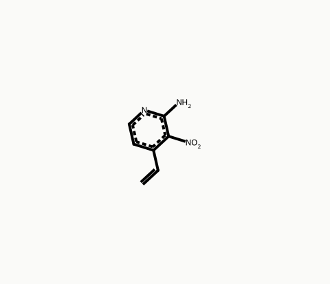 C=Cc1ccnc(N)c1[N+](=O)[O-]